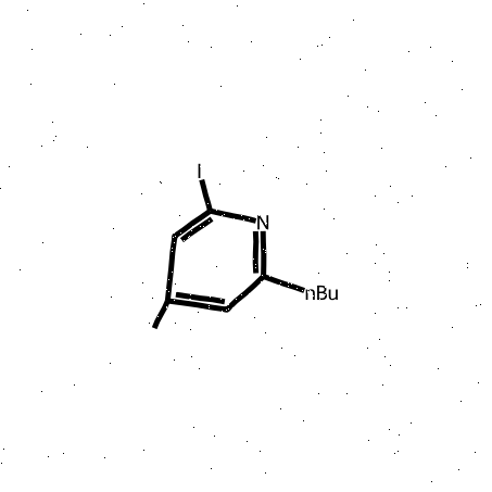 CCCCc1cc(C)cc(I)n1